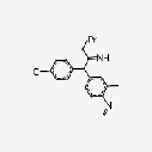 C=Nc1ccc(C(C(=N)CC(C)C)c2ccc(Cl)cc2)cc1C